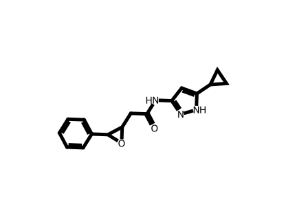 O=C(CC1OC1c1ccccc1)Nc1cc(C2CC2)[nH]n1